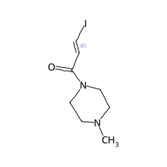 CN1CCN(C(=O)/C=C/I)CC1